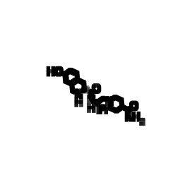 CC(C)C(CN1CCC(C(N)=O)CC1)NC(=O)[C@H]1Cc2ccc(O)cc2CN1